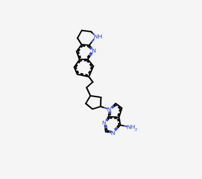 Nc1ncnc2c1ccn2C1CCC(CCc2ccc3cc4c(nc3c2)NCCC4)C1